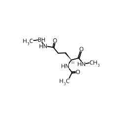 CBNC(=O)CC[C@H](NC(C)=O)C(=O)NC